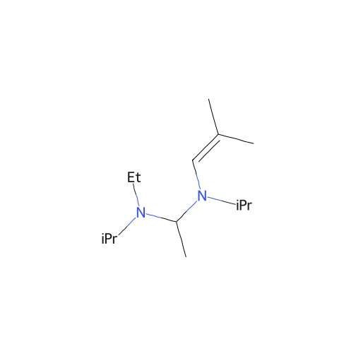 CCN(C(C)C)C(C)N(C=C(C)C)C(C)C